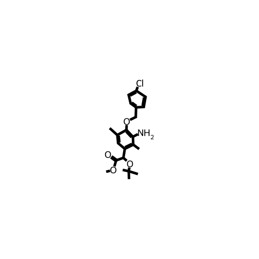 COC(=O)C(OC(C)(C)C)c1cc(C)c(OCc2ccc(Cl)cc2)c(N)c1C